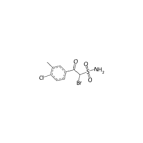 Cc1cc(C(=O)C(Br)S(N)(=O)=O)ccc1Cl